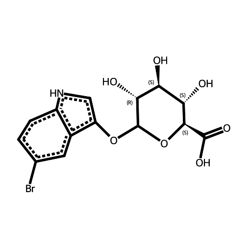 O=C(O)[C@H]1OC(Oc2c[nH]c3ccc(Br)cc23)[C@H](O)[C@@H](O)[C@@H]1O